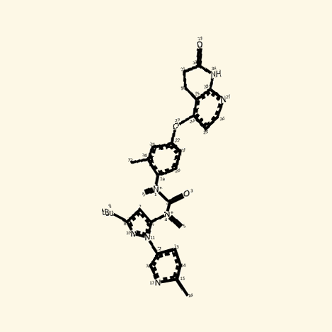 C=[N+](C(=O)[N+](=C)c1cc(C(C)(C)C)nn1-c1ccc(C)nc1)c1ccc(Oc2ccnc3c2CCC(=O)N3)cc1C